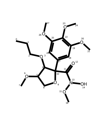 CCCOC1C(OC)COC1(C(=O)N(O)OC)c1cc(OC)c(OC)c(OC)c1